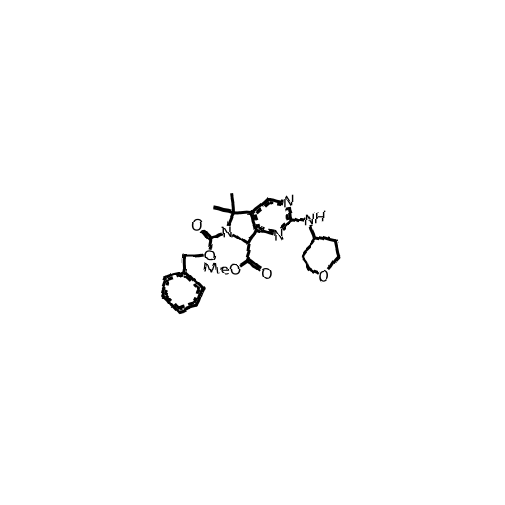 COC(=O)C1c2nc(NC3CCOCC3)ncc2C(C)(C)N1C(=O)OCc1ccccc1